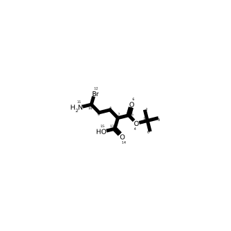 CC(C)(C)OC(=O)C(CCC(N)Br)C(=O)O